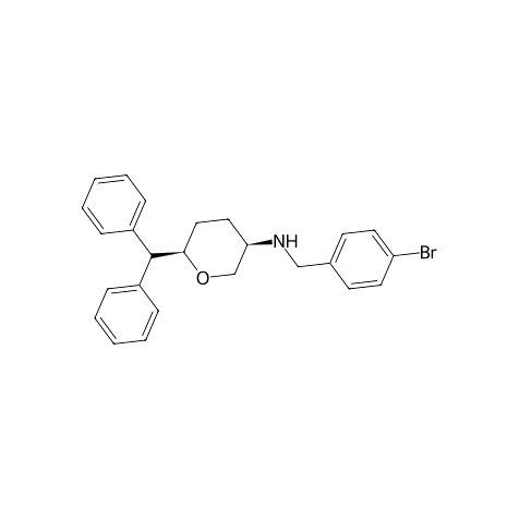 Brc1ccc(CN[C@@H]2CC[C@H](C(c3ccccc3)c3ccccc3)OC2)cc1